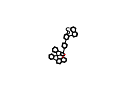 c1ccc2c(c1)-c1ccc3ccccc3c1C21c2ccccc2-c2c(-c3ccc(-c4ccc5c(c4)-c4cccc6cccc(c46)S5)cc3)cccc21